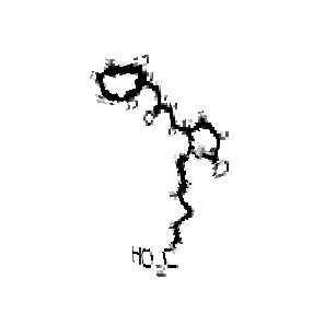 O=C(O)CCCCCCN1C(=O)CCC1CCC(=O)Cc1ccccc1